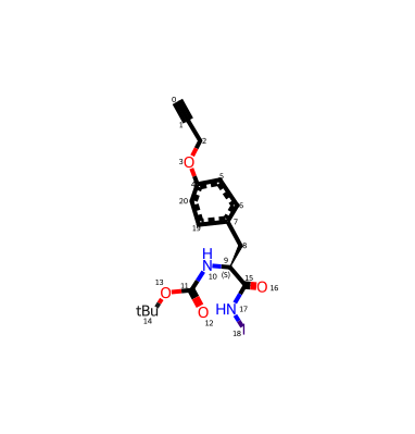 C#CCOc1ccc(C[C@H](NC(=O)OC(C)(C)C)C(=O)NI)cc1